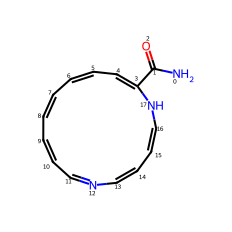 NC(=O)C1=CC=CC=CC=CC=NC=CC=CN1